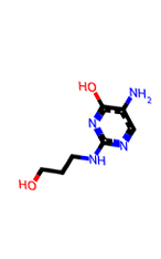 Nc1cnc(NCCCO)nc1O